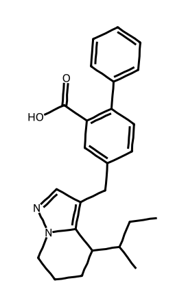 CCC(C)C1CCCn2ncc(Cc3ccc(-c4ccccc4)c(C(=O)O)c3)c21